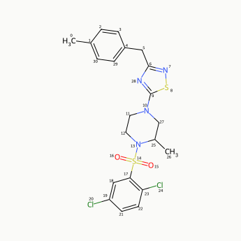 Cc1ccc(Cc2nsc(N3CCN(S(=O)(=O)c4cc(Cl)ccc4Cl)C(C)C3)n2)cc1